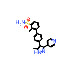 Cc1[nH]nc(-c2ccncc2)c1-c1ccc(-c2cccc(S(N)(=O)=O)c2C)cc1